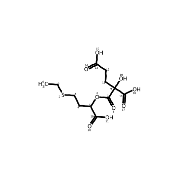 CCSCCC(OC(=O)C(O)(CCC(=O)O)C(=O)O)C(=O)O